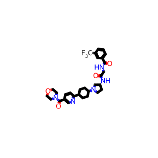 O=C(CNC(=O)c1cccc(C(F)(F)F)c1)N[C@@H]1CCN(C2CCC(c3ccc(C(=O)N4CCOCC4)cn3)CC2)C1